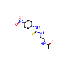 CC(=O)NCCNC(=S)Nc1ccc([N+](=O)[O-])cc1